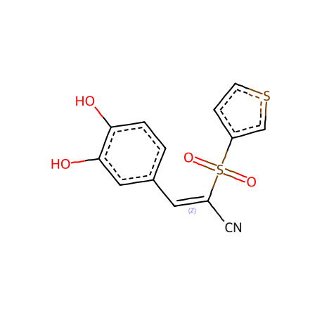 N#C/C(=C/c1ccc(O)c(O)c1)S(=O)(=O)c1ccsc1